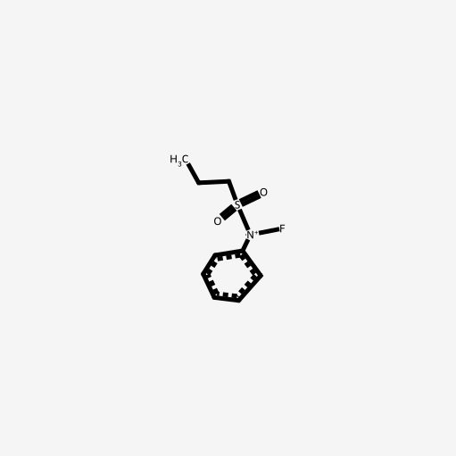 CCCS(=O)(=O)[N+](F)c1ccccc1